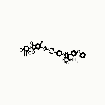 Nc1ncnc2c1c(-c1ccc(Oc3ccccc3)cc1)nn2C1CCC(N2CCN(C3CN(c4cc5c(cc4F)C(=O)N([C@H]4CCC(=O)NC4=O)C5=O)C3)CC2)CC1